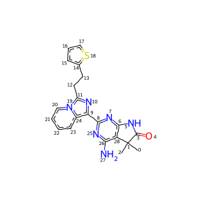 CC1(C)C(=O)Nc2nc(-c3nc(CCc4cccs4)n4ccccc34)nc(N)c21